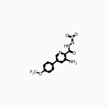 Nc1cc(-c2ccc(OC(F)(F)F)cc2)cnc1C(=O)NN=S(=O)=O